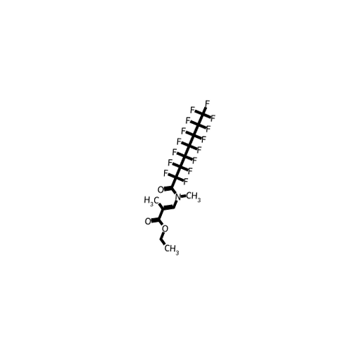 CCOC(=O)C(C)=CN(C)C(=O)C(F)(F)C(F)(F)C(F)(F)C(F)(F)C(F)(F)C(F)(F)C(F)(F)F